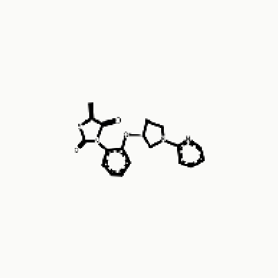 C=C1SC(=O)N(c2ccccc2O[C@H]2CCN(c3ccccn3)C2)C1=O